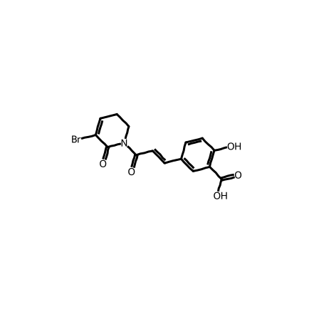 O=C(O)c1cc(/C=C/C(=O)N2CCC=C(Br)C2=O)ccc1O